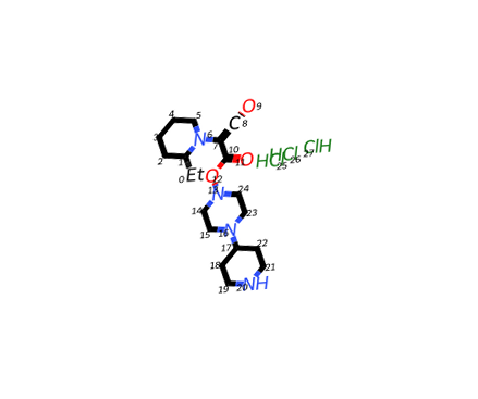 CCC1CCCCN1C(=C=O)C(=O)ON1CCN(C2CCNCC2)CC1.Cl.Cl.Cl